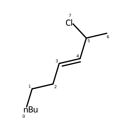 CCCCCC/C=C/C(C)Cl